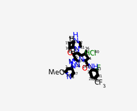 COc1cc(-n2nc3c(=O)c(N4CCN[C@H]5CC[C@@H]54)c4n(c3n2)C(C(=O)Nc2ccc(C(F)(F)F)cc2F)CC4C)ccn1.Cl